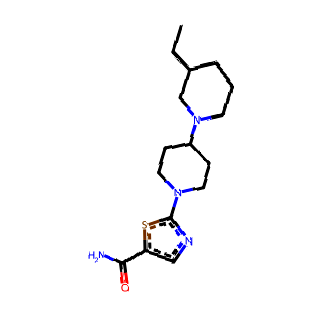 CCC1CCCN(C2CCN(c3ncc(C(N)=O)s3)CC2)C1